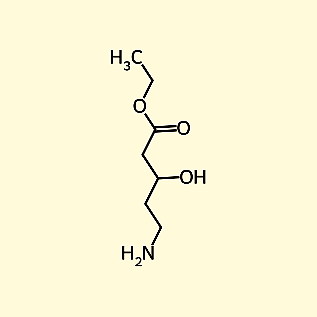 CCOC(=O)CC(O)CCN